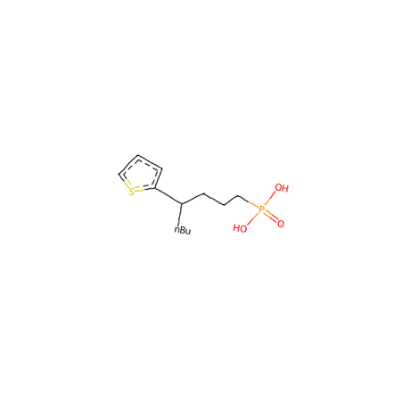 CCCCC(CCCP(=O)(O)O)c1cccs1